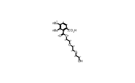 CCCCc1ccc(C(=O)O)c(C(=O)OCCOCCOCCO)c1CCCC